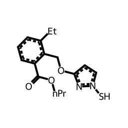 CCCOC(=O)c1cccc(CC)c1COc1ccn(S)n1